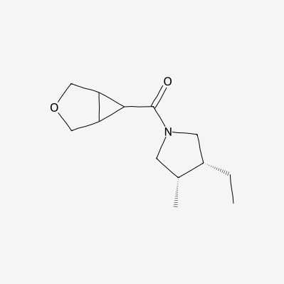 CC[C@H]1CN(C(=O)C2C3COCC32)C[C@H]1C